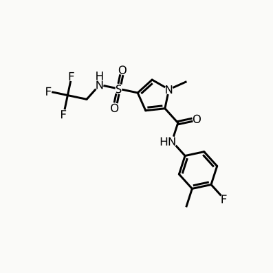 Cc1cc(NC(=O)c2cc(S(=O)(=O)NCC(F)(F)F)cn2C)ccc1F